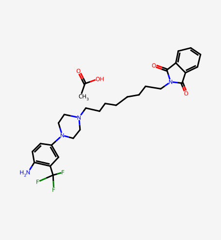 CC(=O)O.Nc1ccc(N2CCN(CCCCCCCCN3C(=O)c4ccccc4C3=O)CC2)cc1C(F)(F)F